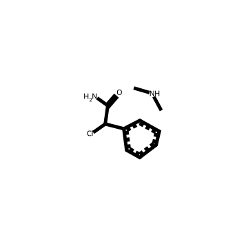 CNC.NC(=O)C(Cl)c1ccccc1